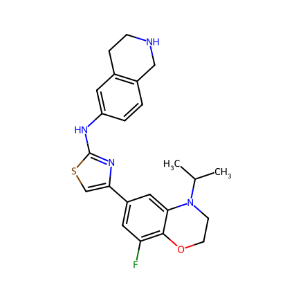 CC(C)N1CCOc2c(F)cc(-c3csc(Nc4ccc5c(c4)CCNC5)n3)cc21